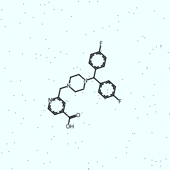 O=C(O)c1ccnc(CN2CCN(C(c3ccc(F)cc3)c3ccc(F)cc3)CC2)c1